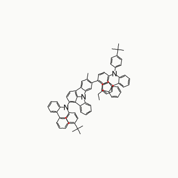 CCC1c2c(-c3cc4c(cc3C)c3ccc(N(c5ccc(C(C)(C)C)cc5)c5ccccc5-c5ccccc5)c5c6ccccc6n4c35)ccc(N(c3ccc(C(C)(C)C)cc3)c3ccccc3-c3ccccc3)c2C2C=CC=CC21